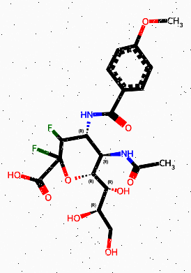 COc1ccc(C(=O)N[C@H]2C(F)C(F)(C(=O)O)O[C@@H]([C@H](O)[C@H](O)CO)[C@@H]2NC(C)=O)cc1